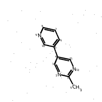 Cc1ncc(-c2cccnc2)cn1